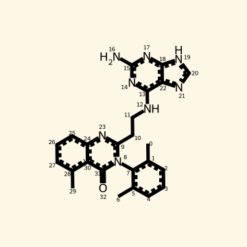 Cc1cccc(C)c1-n1c(CCNc2nc(N)nc3[nH]cnc23)nc2cccc(C)c2c1=O